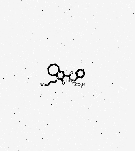 N#CCCCn1c2c(cc(C(=O)N[C@@H](C(=O)O)c3ccccc3)c1=O)CCCCCC2